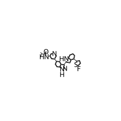 CC(C)C(=O)Nc1cncc(-c2ccc3[nH]nc(-c4cc5c(-c6ccc(F)s6)cccc5[nH]4)c3c2)c1